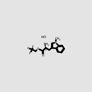 Cl.Cn1cc(C[C@H](N)C(=O)OCC(F)(F)F)c2ccccc21